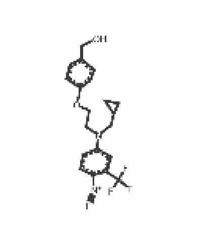 [C-]#[N+]c1ccc(N(CCOc2ccc(CO)cc2)CC2CC2)cc1C(F)(F)F